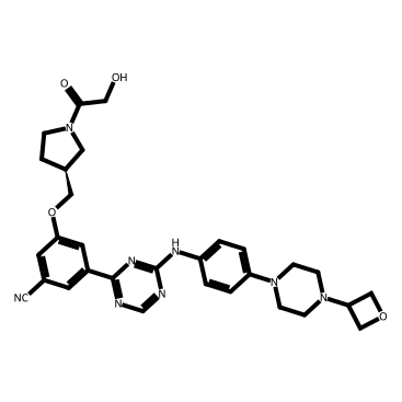 N#Cc1cc(OC[C@H]2CCN(C(=O)CO)C2)cc(-c2ncnc(Nc3ccc(N4CCN(C5COC5)CC4)cc3)n2)c1